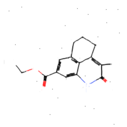 CCOC(=O)c1cc2c3c(c(C)c(=O)[nH]c3c1)CCC2